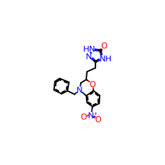 O=c1[nH]nc(CCC2CN(Cc3ccccc3)c3cc([N+](=O)[O-])ccc3O2)[nH]1